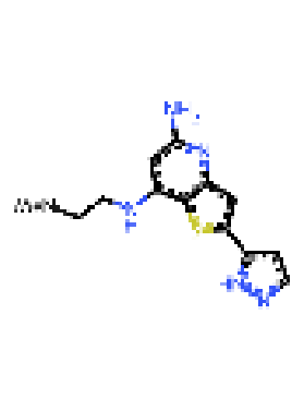 CNCCNc1cc(N)nc2cc(-c3ccn[nH]3)sc12